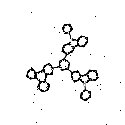 c1ccc(-n2c3ccccc3c3cc(-c4cc(-c5ccc6c7ccccc7c7ccccc7c6c5)cc(-c5ccc6c(c5)c5ccccc5n6-c5ccccc5)c4)ccc32)cc1